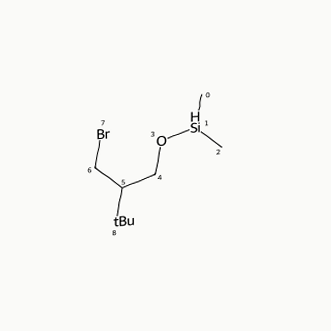 C[SiH](C)OCC(CBr)C(C)(C)C